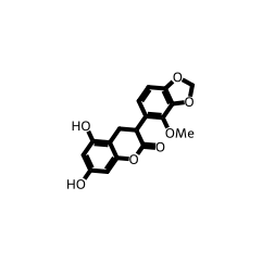 COc1c(C2Cc3c(O)cc(O)cc3OC2=O)ccc2c1OCO2